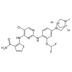 CN1C[C@H]2C[C@@H]1CN2c1ccc(Nc2ncc(Cl)c(Nc3sccc3C(N)=O)n2)c(OC(F)F)c1